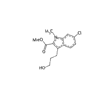 COC(=O)c1c(CCCO)c2ccc(Cl)cc2n1C